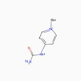 CC(C)(C)[n+]1ccc(NC(N)=O)cc1